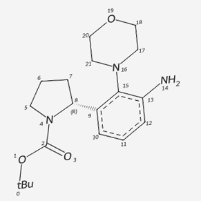 CC(C)(C)OC(=O)N1CCC[C@@H]1c1cccc(N)c1N1CCOCC1